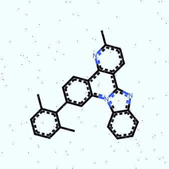 Cc1ccc2c(n1)c1ccc(-c3c(C)cccc3C)cc1n1c3ccccc3nc21